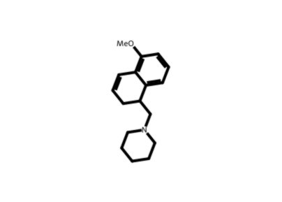 COc1cccc2c1C=CCC2CN1CCCCC1